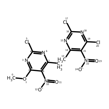 COc1nc(Cl)nc(C)c1[N+](=O)[O-].Cc1nc(Cl)nc(Cl)c1[N+](=O)[O-]